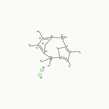 CC1=[C]2CC(=C1C)[Si](C)(C)C1=C(C)C(C)=[C](C1)[Ti+2]2.[Cl-].[Cl-]